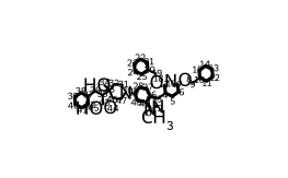 Cn1nc(-c2ccc(OCc3ccccc3)nc2OCc2ccccc2)c2ccc(N3CCC(O)(C(Cc4ccccc4)C(=O)O)CC3)cc21